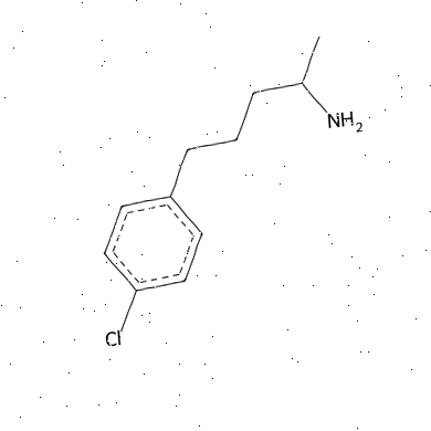 CC(N)CCCc1ccc(Cl)cc1